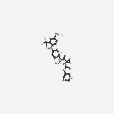 COc1ccc(Nc2ccc(N(C)C(=O)C3(NC(=O)Oc4cncnc4)CC3)nc2)c(C(F)(F)F)c1